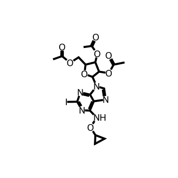 CC(=O)OCC1OC(n2cnc3c(NOC4CC4)nc(I)nc32)C(OC(C)=O)C1OC(C)=O